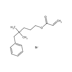 C=CC(=O)OCCC[N+](C)(C)Cc1ccccc1.[Br-]